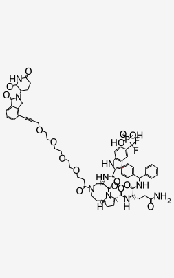 NC(=O)CC[C@H](NC(=O)[C@@H]1CC[C@@H]2CCN(C(=O)CCOCCOCCOCCOCC#Cc3cccc4c3CN(C3CCC(=O)NC3=O)C4=O)C[C@H](NC(=O)c3cc4cc(C(F)(F)P(=O)(O)O)ccc4[nH]3)C(=O)N21)C(=O)NC(c1ccccc1)c1ccccc1